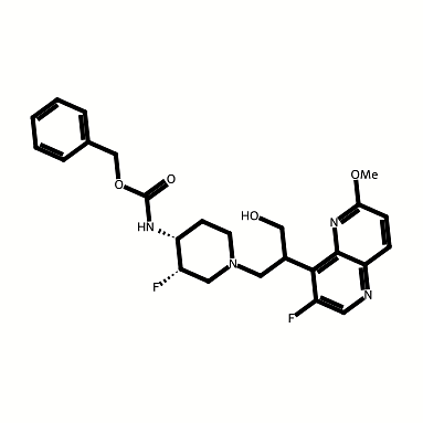 COc1ccc2ncc(F)c(C(CO)CN3CC[C@@H](NC(=O)OCc4ccccc4)[C@@H](F)C3)c2n1